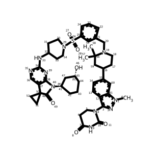 Cn1nc(N2CCC(=O)NC2=O)c2ccc(C3CCN(Cc4cccc(S(=O)(=O)N5CCC(Nc6ncc7c(n6)N([C@@H]6CCC[C@@H](O)C6)C(=O)C76CC6)CC5)c4)C(C)(C)C3)cc21